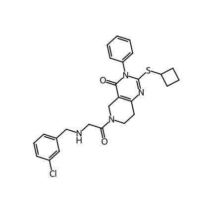 O=C(CNCc1cccc(Cl)c1)N1CCc2nc(SC3CCC3)n(-c3ccccc3)c(=O)c2C1